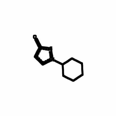 O=c1ccn(C2CCCCC2)s1